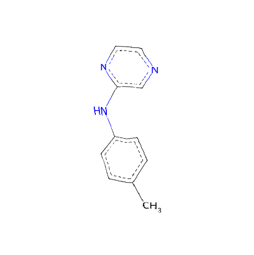 Cc1ccc(Nc2cnccn2)cc1